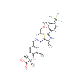 COCCCN(Cc1ccc(OC(C)(C)C(=O)O)c(C)c1)Cc1sc(-c2ccc(C(F)(F)F)cc2)nc1C